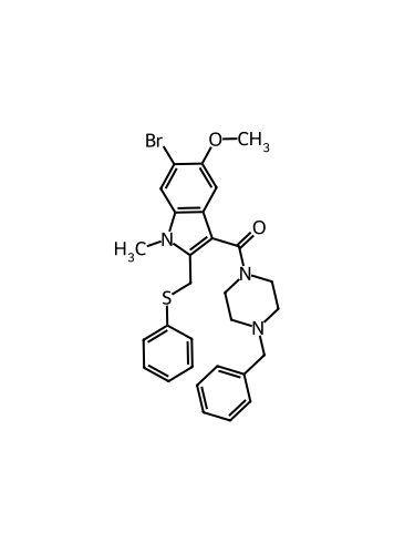 COc1cc2c(C(=O)N3CCN(Cc4ccccc4)CC3)c(CSc3ccccc3)n(C)c2cc1Br